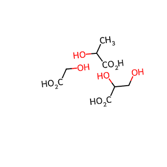 CC(O)C(=O)O.O=C(O)C(O)CO.O=C(O)CO